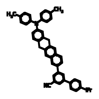 Cc1ccc(N(c2ccc(C)cc2)c2ccc3c(c2)Cc2cc4ccc(-c5cc(C#N)cc(-c6ccc(C(C)C)cc6)c5)cc4cc2C3)cc1